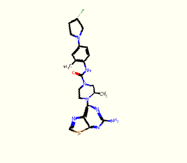 Cc1cc(N2CC[C@H](F)C2)ccc1NC(=O)N1CCN(c2nc(N)nc3scnc23)C(C)C1